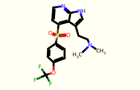 CN(C)CCc1c[nH]c2nccc(S(=O)(=O)c3ccc(OC(F)(F)F)cc3)c12